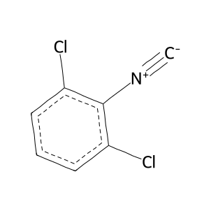 [C-]#[N+]c1c(Cl)cccc1Cl